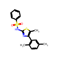 Cc1ccc(C)c(-c2nc(NS(=O)(=O)c3ccccc3)sc2C)c1